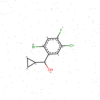 OC(c1cc(Cl)c(F)cc1Br)C1CC1